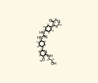 COc1cnc(-c2ccc(NC(=S)Nc3ccc(N4CCOCC4=O)cc3)cc2)nc1NCCO